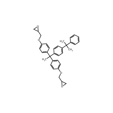 CC(C)(c1ccccc1)c1ccc(C(C)(c2ccc(OCC3CO3)cc2)c2ccc(OCC3CO3)cc2)cc1